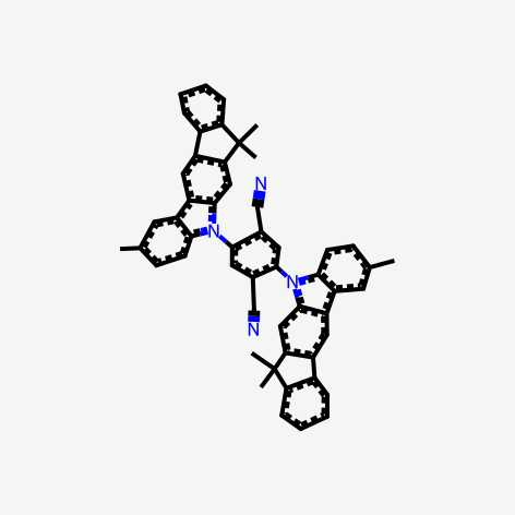 Cc1ccc2c(c1)c1cc3c(cc1n2-c1cc(C#N)c(-n2c4ccc(C)cc4c4cc5c(cc42)C(C)(C)c2ccccc2-5)cc1C#N)C(C)(C)c1ccccc1-3